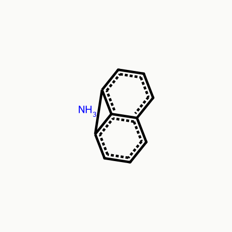 N.c1cc2c3c-2cccc3c1